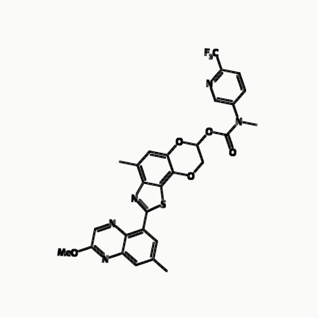 COc1cnc2c(-c3nc4c(C)cc5c(c4s3)OCC(OC(=O)N(C)c3ccc(C(F)(F)F)nc3)O5)cc(C)cc2n1